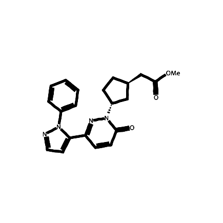 COC(=O)C[C@@H]1CC[C@@H](n2nc(-c3ccnn3-c3ccccc3)ccc2=O)C1